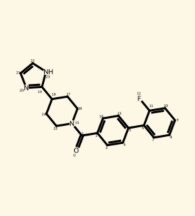 O=C(c1ccc(-c2ccccc2F)cc1)N1CCC(c2ncc[nH]2)CC1